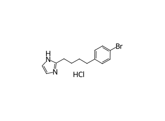 Brc1ccc(CCCCc2ncc[nH]2)cc1.Cl